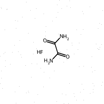 F.NC(=O)C(N)=O